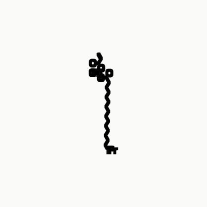 C=CC(=O)[O][Ti](=[O])[O]C(=O)CCCCCCCCCCCCCCC(C)C